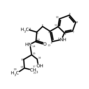 C[C](Cc1c[nH]c2ccccc12)C(=O)NC(CO)CC(C)C